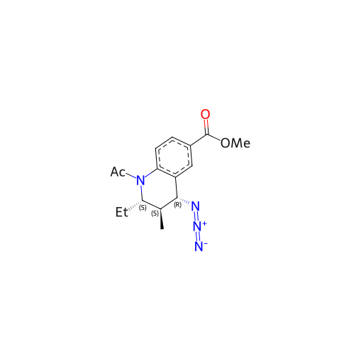 CC[C@H]1[C@H](C)[C@@H](N=[N+]=[N-])c2cc(C(=O)OC)ccc2N1C(C)=O